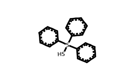 SS(c1ccccc1)(c1ccccc1)c1ccccc1